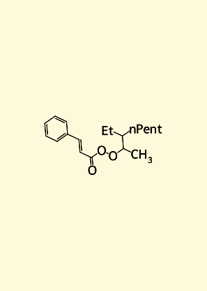 CCCCCC(CC)C(C)OOC(=O)/C=C/c1ccccc1